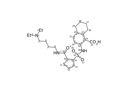 CCN(CC)CCCCNC(=O)c1sccc1S(=O)(=O)Nc1ccc2c(c1C(=O)O)CCCC2